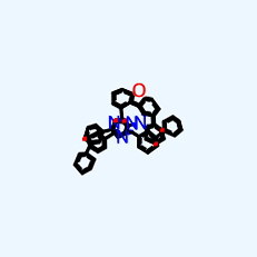 c1ccc(-c2cccc(-c3ccc(-n4c5ccccc5c5ccc6oc7cccc(-c8nc(-c9ccccc9)nc(-c9cccc(-c%10ccccc%10)c9)n8)c7c6c54)cc3)c2)cc1